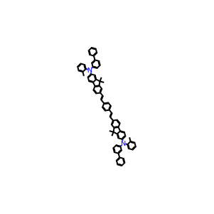 Cc1ccccc1N(c1cccc(-c2ccccc2)c1)c1ccc2c(c1)C(C)(C)c1cc(/C=C/c3ccc(/C=C/c4ccc5c(c4)C(C)(C)c4cc(N(c6cccc(-c7ccccc7)c6)c6ccccc6C)ccc4-5)cc3)ccc1-2